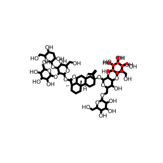 C=C1C[C@@]23CCC4[C@](C)(C(=O)OC5OC(CO)C(O)C(OC6OC(CO)C(O)CC6O)C5OC5OC(CO)C(O)C(O)C5O)CCC[C@@]4(C)[C@@H]2CC[C@]1(OC1OC(COC2OC(CO)C(O)C(O)C2O)C(O)C(OC2OC(CO)C(O)C(O)C2O)C1OC1OC(CO)C(O)C(O)C1O)C3